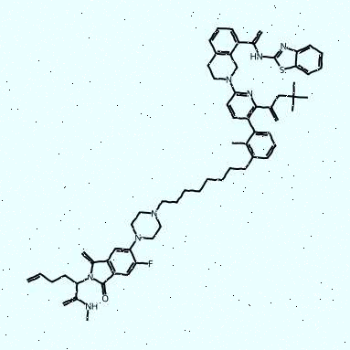 C=CCCC(C(=C)NC)N1C(=C)c2cc(N3CCN(CCCCCCCCc4cccc(-c5ccc(N6CCc7cccc(C(=C)Nc8nc9ccccc9s8)c7C6)nc5C(=C)CC(C)(C)C)c4C)CC3)c(F)cc2C1=O